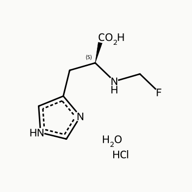 Cl.O.O=C(O)[C@H](Cc1c[nH]cn1)NCF